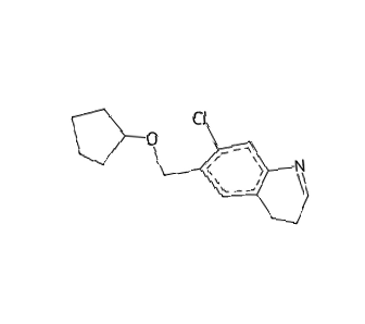 Clc1cc2c(cc1COC1CCCC1)CCC=N2